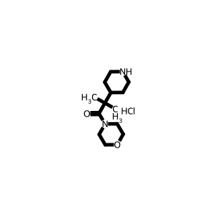 CC(C)(C(=O)N1CCOCC1)C1CCNCC1.Cl